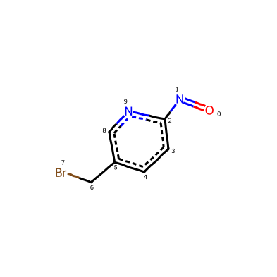 O=Nc1ccc(CBr)cn1